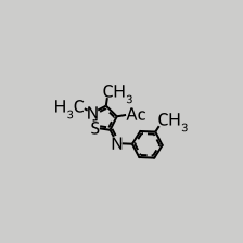 CC(=O)c1c(C)n(C)sc1=Nc1cccc(C)c1